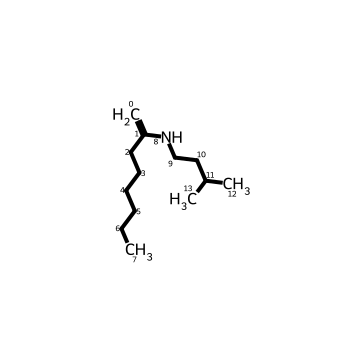 C=C(CCCCCC)NCCC(C)C